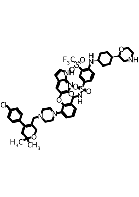 CC1(C)CC(c2ccc(Cl)cc2)=C(CN2CCN(c3cccc(C(=O)NS(=O)(=O)c4ccc(N[C@H]5CC[C@H](C6CNCCO6)CC5)c(S(=O)(=O)C(F)(F)F)c4)c3Oc3cnc4[nH]ccc4c3)CC2)CO1